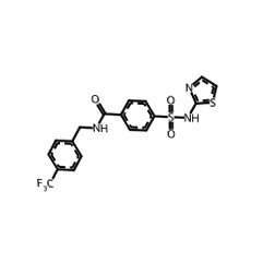 O=C(NCc1ccc(C(F)(F)F)cc1)c1ccc(S(=O)(=O)Nc2nccs2)cc1